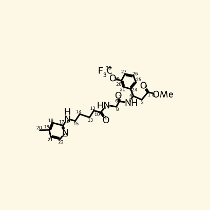 COC(=O)CC(NC(=O)CNC(=O)CCCCNc1cc(C)ccn1)c1cccc(OC(F)(F)F)c1